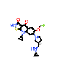 O=c1[nH]sc2c1c(=O)c1cc(OCF)c(N3CC[C@@H](CNC4CC4)C3)cc1n2C1CC1